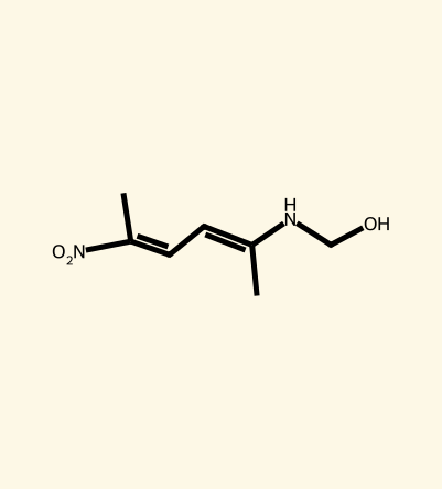 C/C(=C\C=C(/C)[N+](=O)[O-])NCO